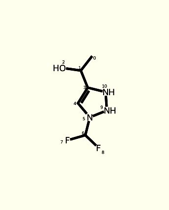 CC(O)C1=CN(C(F)F)NN1